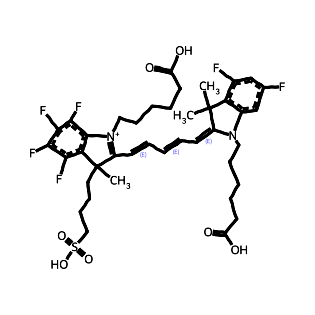 CC1(CCCCS(=O)(=O)O)C(/C=C/C=C/C=C2/N(CCCCCC(=O)O)c3cc(F)cc(F)c3C2(C)C)=[N+](CCCCCC(=O)O)c2c(F)c(F)c(F)c(F)c21